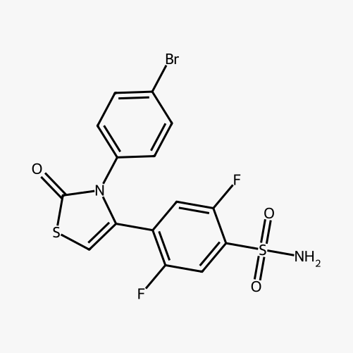 NS(=O)(=O)c1cc(F)c(-c2csc(=O)n2-c2ccc(Br)cc2)cc1F